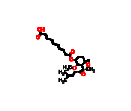 CO[C@@H]1[C@H](OC(=O)CC/C=C/C=C/C=C/C(=O)O)CC[C@]2(CO2)[C@H]1[C@@]1(C)O[C@@H]1CC=C(C)C